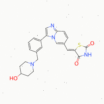 O=C1NC(=O)/C(=C/c2ccc3ncc(-c4cccc(CN5CCC(O)CC5)c4)n3c2)S1